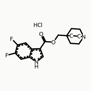 Cl.O=C(OCC12CCN(CC1)CC2)c1c[nH]c2cc(F)c(F)cc12